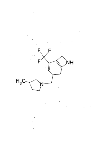 CC1CCN(CC2C=C(C(F)(F)F)C3=C(C2)NC3)C1